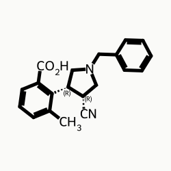 Cc1cccc(C(=O)O)c1[C@@H]1CN(Cc2ccccc2)C[C@@H]1C#N